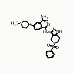 CN1CCN(c2ccc(C(=O)Nc3n[nH]c4c3CN(S(=O)(=O)c3ccccc3)CC4)c(C(N)=O)c2)CC1